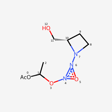 CC(=O)OC(C)On1on1N1CC[C@H]1CO